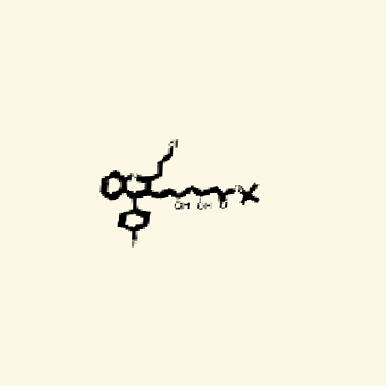 CC(C)(C)OC(=O)C[C@H](O)C[C@H](O)/C=C/c1c(CCCCl)nc2ccccc2c1-c1ccc(F)cc1